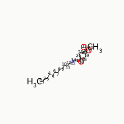 CCCCCCCCCCCCC/C=C/C1O[C@]12CC[C@H](C(=O)OC)CC2